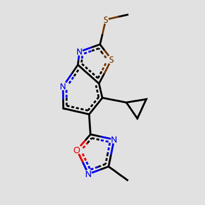 CSc1nc2ncc(-c3nc(C)no3)c(C3CC3)c2s1